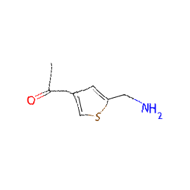 CC(=O)c1csc(CN)c1